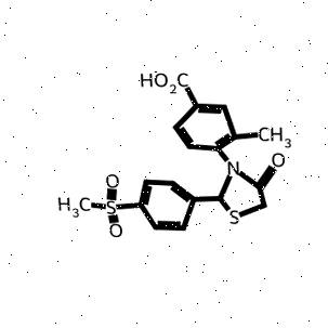 Cc1cc(C(=O)O)ccc1N1C(=O)CSC1c1ccc(S(C)(=O)=O)cc1